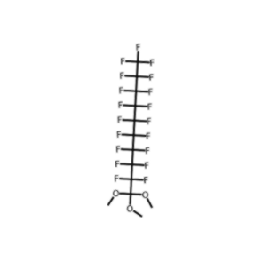 COC(OC)(OC)C(F)(F)C(F)(F)C(F)(F)C(F)(F)C(F)(F)C(F)(F)C(F)(F)C(F)(F)C(F)(F)F